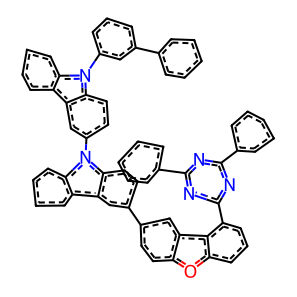 c1ccc(-c2cccc(-n3c4ccccc4c4cc(-n5c6ccccc6c6cc(-c7ccc8oc9cccc(-c%10nc(-c%11ccccc%11)nc(-c%11ccccc%11)n%10)c9c8c7)ccc65)ccc43)c2)cc1